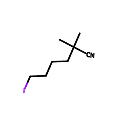 CC(C)(C#N)CCCCI